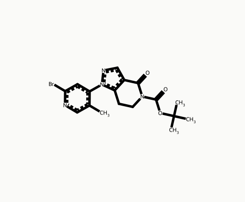 Cc1cnc(Br)cc1-n1ncc2c1CCN(C(=O)OC(C)(C)C)C2=O